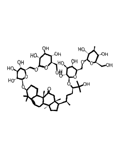 C[C@@H]1[C@@H](O)[C@H](OC[C@H]2O[C@@H](O[C@H](CC[C@@H](C)C3CC[C@@]4(C)C5CC=C6C(CC[C@H](O[C@@H]7O[C@H](CO[C@@H]8O[C@H](CO)[C@@H](O)[C@H](O)[C@H]8O)[C@@H](O)[C@H](O)[C@H]7O)C6(C)C)[C@]5(C)C(=O)C[C@]34C)C(C)(C)O)[C@H](O)[C@@H](O)[C@@H]2O)O[C@H](CO)[C@H]1O